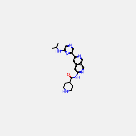 CC(C)Nc1cncc(-c2cc3cc(NC(=O)C4CCNCC4)ncc3cn2)n1